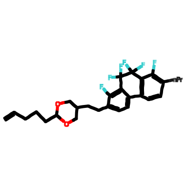 C=CCCCC1OCC(CCc2ccc3c(c2F)C(F)(F)C(F)(F)c2c-3ccc(CCC)c2F)CO1